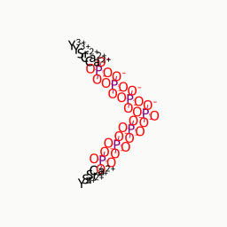 O=P([O-])([O-])[O-].O=P([O-])([O-])[O-].O=P([O-])([O-])[O-].O=P([O-])([O-])[O-].O=P([O-])([O-])[O-].O=P([O-])([O-])[O-].O=P([O-])([O-])[O-].[Ca+2].[Ca+2].[Ca+2].[Sr+2].[Sr+2].[Sr+2].[Y+3].[Y+3].[Y+3]